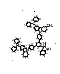 CN1CCC2C(C1)c1cc(N(c3ccccc3)c3ccccc3)ccc1N2c1ccc(-c2cc(-c3ccc(N4c5ccc(N(c6ccccc6)c6ccccc6)cc5C5CNCCC54)cc3)cc(N3NNc4ccccc43)c2)cc1